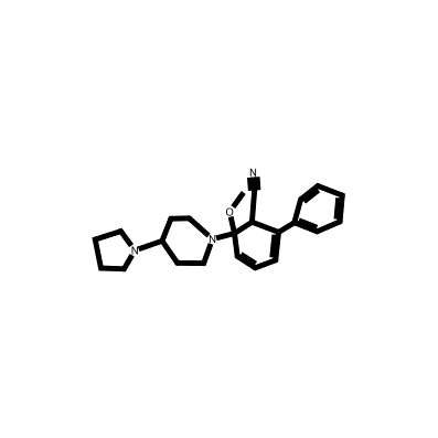 COC1(N2CCC(N3CCCC3)CC2)C=CC=C(c2ccccc2)C1C#N